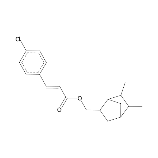 CC1C2CC(COC(=O)/C=C/c3ccc(Cl)cc3)C(C2)C1C